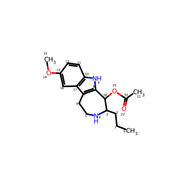 CCCC1NCCc2c([nH]c3ccc(OC)cc23)C1OC(C)=O